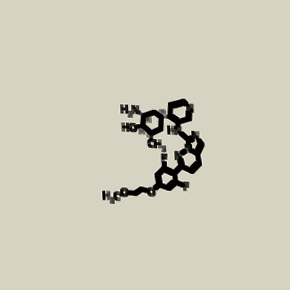 COCCOc1cc(F)c(-c2ccc3cnc(Nc4cnccc4[C@H]4C[C@@H](N)[C@H](O)[C@@H](C)C4)n3n2)c(F)c1